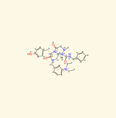 CCN(CC)c1cccc(CN2C[C@H]3N(C(=O)CN(C)N3C(=O)NCc3ccccc3)[C@@H](Cc3ccc(O)cc3)C2=O)c1